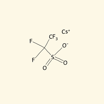 O=S(=O)([O-])C(F)(F)C(F)(F)F.[Cs+]